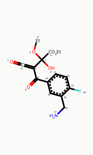 CCOC(=O)C(O)(OCC)C(=C=O)C(=O)c1ccc(F)c(CN)c1